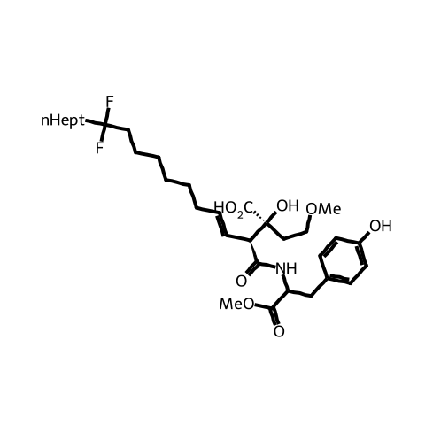 CCCCCCCC(F)(F)CCCCCC/C=C/[C@H](C(=O)NC(Cc1ccc(O)cc1)C(=O)OC)[C@@](O)(CCOC)C(=O)O